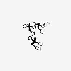 CC([O-])(Cl)CCl.CC([O-])(Cl)CCl.CC([O-])(Cl)CCl.[Al+3]